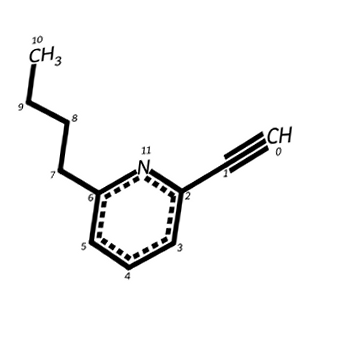 C#Cc1cccc(CCCC)n1